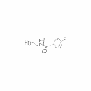 O=C(NCCO)c1ccc(F)nc1